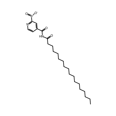 CCCCCCCCCCCCCCCCCC(=O)NC(=O)c1ccnc([N+](=O)[O-])c1